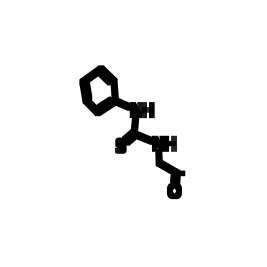 O=[C]CNC(=S)Nc1ccccc1